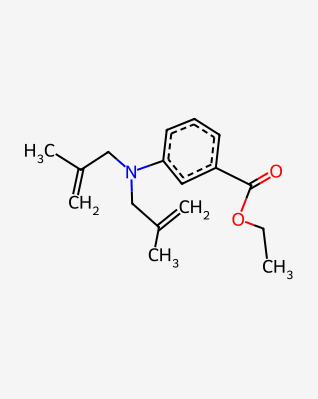 C=C(C)CN(CC(=C)C)c1cccc(C(=O)OCC)c1